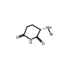 O=C1CC[C@H](NBr)C(=O)N1